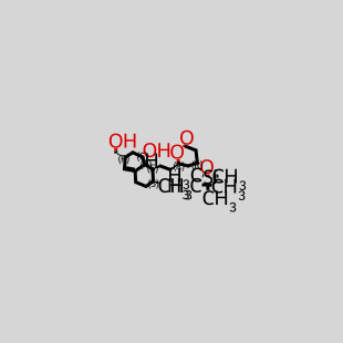 C[C@H]1CCC2=C[C@H](CO)C[C@H](O)[C@@H]2[C@H]1CC[C@@H]1C[C@@H](O[Si](C)(C)C(C)(C)C)CC(=O)O1